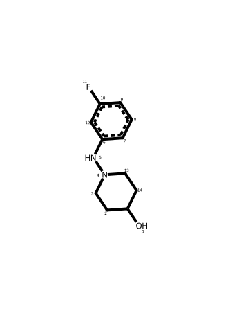 OC1CCN(Nc2cccc(F)c2)CC1